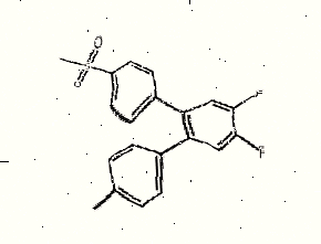 Cc1ccc(-c2cc(F)c(F)cc2-c2ccc(S(C)(=O)=O)cc2)cc1